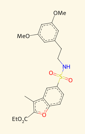 CCOC(=O)c1oc2ccc(S(=O)(=O)NCCc3cc(OC)cc(OC)c3)cc2c1C